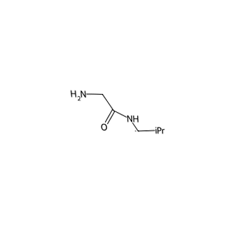 CC(C)[CH]NC(=O)CN